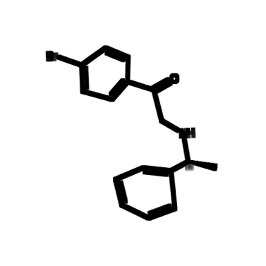 C[C@H](NCC(=O)c1ccc(Br)cc1)c1ccccc1